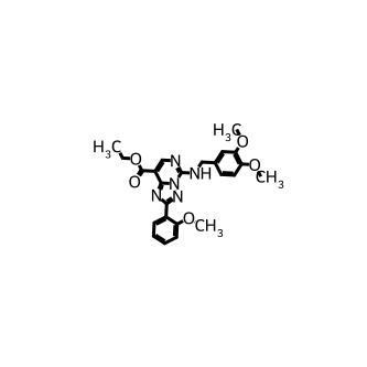 CCOC(=O)c1cnc(NCc2ccc(OC)c(OC)c2)n2nc(-c3ccccc3OC)nc12